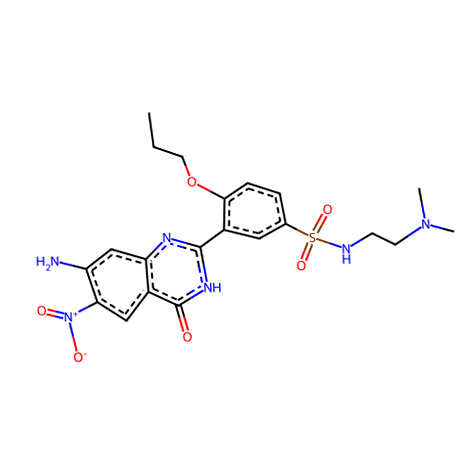 CCCOc1ccc(S(=O)(=O)NCCN(C)C)cc1-c1nc2cc(N)c([N+](=O)[O-])cc2c(=O)[nH]1